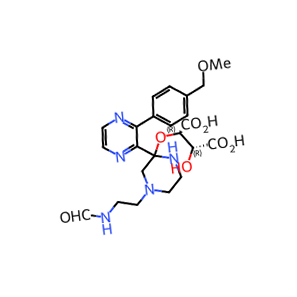 COCc1ccc(-c2nccnc2C2(O[C@@H](C(=O)O)[C@@H](O)C(=O)O)CN(CCNC=O)CCN2)cc1